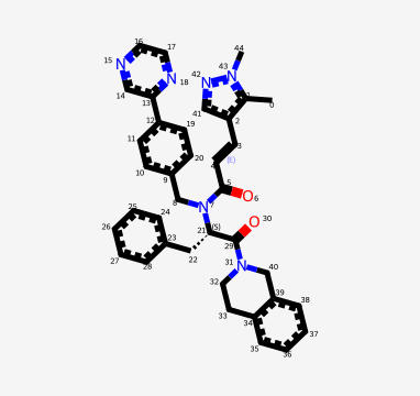 Cc1c(/C=C/C(=O)N(Cc2ccc(-c3cnccn3)cc2)[C@@H](Cc2ccccc2)C(=O)N2CCc3ccccc3C2)cnn1C